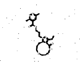 CCc1nn(CCCOC(=O)c2cc(C)nnc2C)c2c1C(=O)NCCCOCCC2